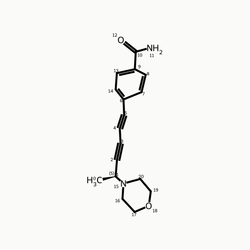 C[C@@H](C#CC#Cc1ccc(C(N)=O)cc1)N1CCOCC1